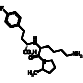 C[C@@H]1CCCN1C(=O)[C@H](CCCCN)N[C@@H](CCc1ccc(F)cc1)C(=O)O